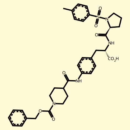 Cc1ccc(S(=O)(=O)N2CCC[C@H]2C(=O)N[C@@H](Cc2ccc(NC(=O)C3CCN(C(=O)OCc4ccccc4)CC3)cc2)C(=O)O)cc1